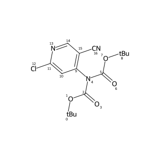 CC(C)(C)OC(=O)N(C(=O)OC(C)(C)C)c1cc(Cl)ncc1C#N